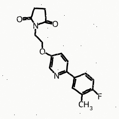 Cc1cc(-c2ccc(OCCN3C(=O)CCC3=O)cn2)ccc1F